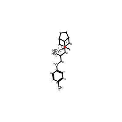 CN(C(=O)O)C1C2CCC1CN(CC(O)COc1ccc(C#N)cc1)C2